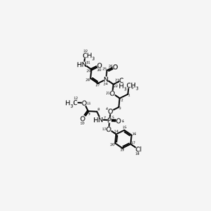 CCC(COP(=O)(NCC(=O)OC)Oc1ccc(Cl)cc1)OC(C)N(C=O)/C=C\C(=O)NC